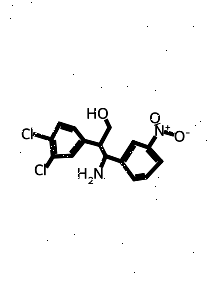 NC(c1cccc([N+](=O)[O-])c1)C(CO)c1ccc(Cl)c(Cl)c1